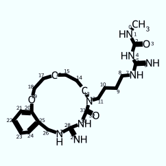 CNC(=O)NC(=N)NCCCCN1CCCCCCOc2ccccc2CNC(=N)NC1=O